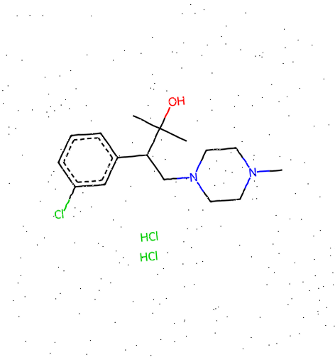 CN1CCN(CC(c2cccc(Cl)c2)C(C)(C)O)CC1.Cl.Cl